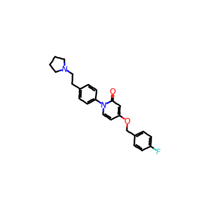 O=c1cc(OCc2ccc(F)cc2)ccn1-c1ccc(CCN2CCCC2)cc1